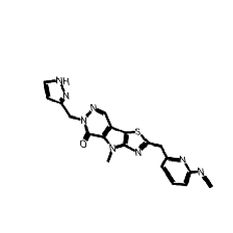 C=Nc1cccc(Cc2nc3c(s2)c2cnn(Cc4cc[nH]n4)c(=O)c2n3C)n1